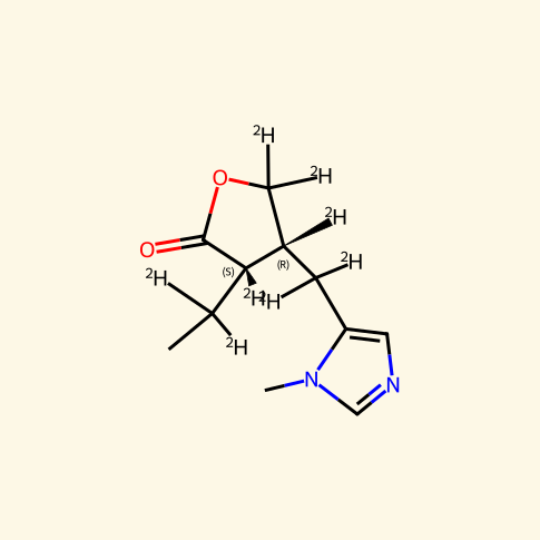 [2H]C1([2H])OC(=O)[C@@]([2H])(C([2H])([2H])C)[C@@]1([2H])C([2H])([2H])c1cncn1C